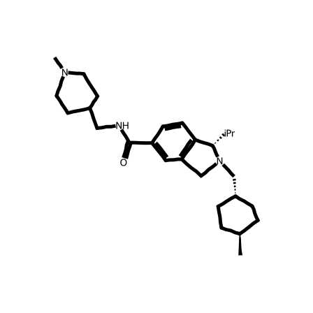 CC(C)[C@H]1c2ccc(C(=O)NCC3CCN(C)CC3)cc2CN1C[C@H]1CC[C@H](C)CC1